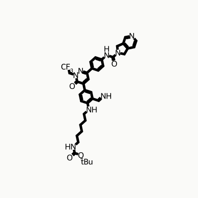 CC(C)(C)OC(=O)NCCCCCCNc1ccc(-c2cc(-c3ccc(NC(=O)N4Cc5ccncc5C4)cc3)nn(CC(F)(F)F)c2=O)cc1C=N